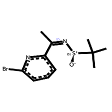 C/C(=N/[S@+]([O-])C(C)(C)C)c1cccc(Br)n1